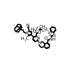 Cc1c(-c2ccc(N3CCc4cccc(C(=O)Nc5nc6ccccc6s5)c4C3)nc2C(=O)OC(C)(C)C)cc(C#N)n1CCC12CC3CC(CC(C3)C1)C2